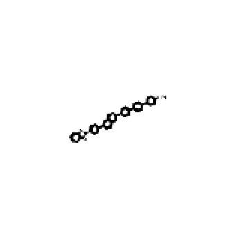 N#Cc1ccc(-c2ccc(-c3ccc(-c4ccc5cc(-c6ccc(-c7nc8ccccc8s7)cc6)ccc5c4)cc3)cc2)cc1